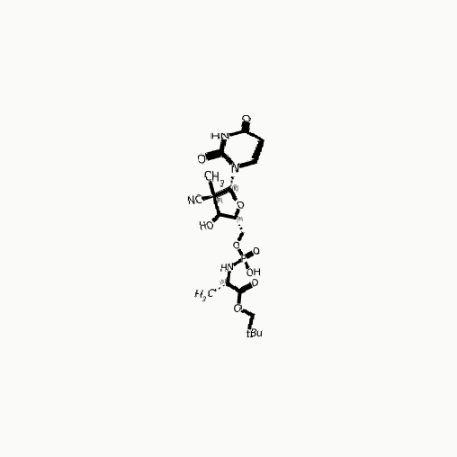 C[C@H](NP(=O)(O)OC[C@H]1O[C@@H](n2ccc(=O)[nH]c2=O)[C@](C)(C#N)C1O)C(=O)OCC(C)(C)C